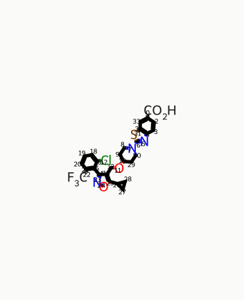 O=C(O)c1ccc2nc(N3CCC(OCc4c(-c5c(Cl)cccc5C(F)(F)F)noc4C4CC4)CC3)sc2c1